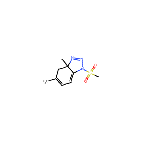 CC12CC(C(F)(F)F)=CC=C1N(S(C)(=O)=O)N=N2